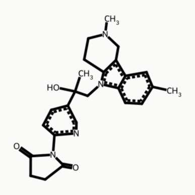 Cc1ccc2c(c1)c1c(n2CC(C)(O)c2ccc(N3C(=O)CCC3=O)nc2)CCN(C)C1